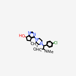 CNC(C=O)C(c1ccc(Cl)cc1)N1CCN(c2ncnc3c2[C@H](C)C[C@H]3O)CC1